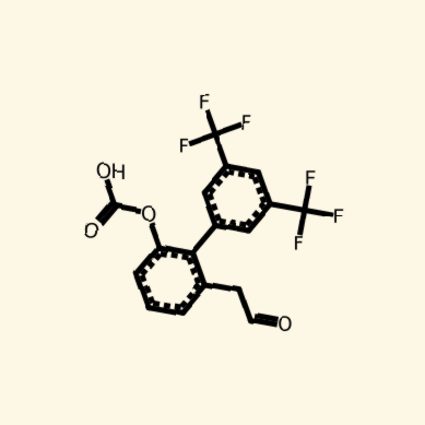 O=CCc1cccc(OC(=O)O)c1-c1cc(C(F)(F)F)cc(C(F)(F)F)c1